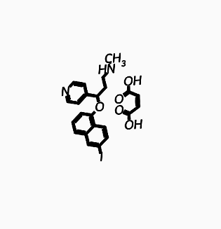 CNCCC(Oc1cccc2cc(I)ccc12)c1ccncc1.O=C(O)/C=C\C(=O)O